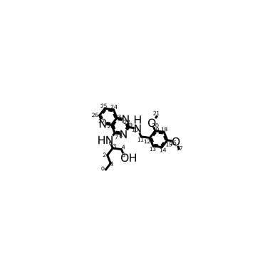 CCCC(CO)Nc1nc(NCc2ccc(OC)cc2OC)nc2cccnc12